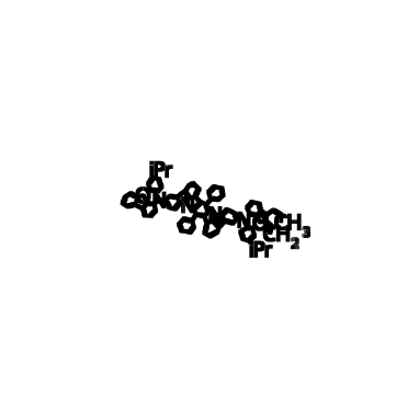 C=Cc1oc2c(N(c3ccc(C(C)C)cc3)c3ccc4c(c3)c3cccc5c6c(-c7ccccc7)c7c(c(-c8ccccc8)c6n4c35)c3cccc4c5cc(N(c6ccc(C(C)C)cc6)c6cccc8c6oc6ccccc68)ccc5n7c43)cccc2c1/C=C\C